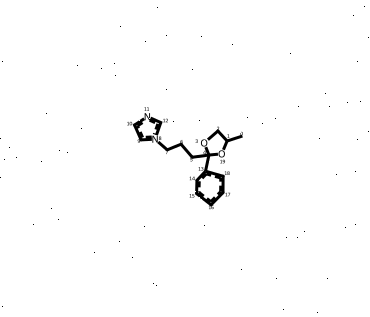 CC1COC(CCCn2ccnc2)(c2ccccc2)O1